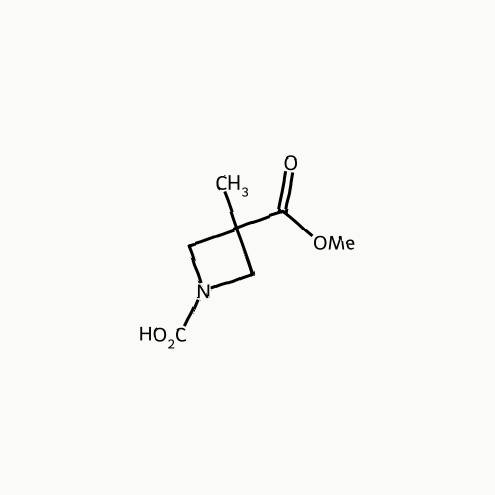 COC(=O)C1(C)CN(C(=O)O)C1